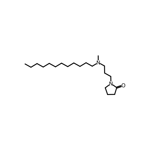 CCCCCCCCCCCCN(C)CCCN1CCCC1=O